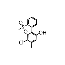 Cc1cc(O)c(-c2ccccc2S(C)(=O)=O)cc1Cl